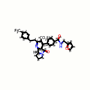 CCOC(=O)c1c(CCc2ccc(C(F)(F)F)cc2)nc2c(c1-c1ccc(C(=O)NCc3ccco3)cc1)C(=O)N1CCC[C@@H]21